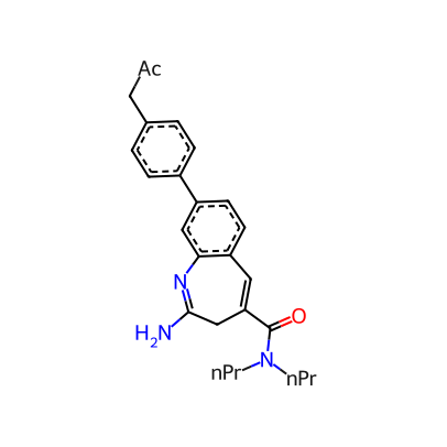 CCCN(CCC)C(=O)C1=Cc2ccc(-c3ccc(CC(C)=O)cc3)cc2N=C(N)C1